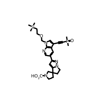 C[Si](C)(C)CCOCn1cc(C#CP(C)(C)=O)c2cc(-c3cc4n(n3)CCC43CCN(C(=O)O)C3)cnc21